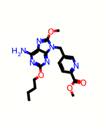 CCCCOc1nc(N)c2nc(OC)n(Cc3ccc(C(=O)OC)nc3)c2n1